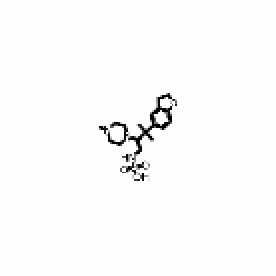 CN1CCN(C(CNS(=O)(=O)O)C(C)(C)c2ccc3c(c2)CCO3)CC1